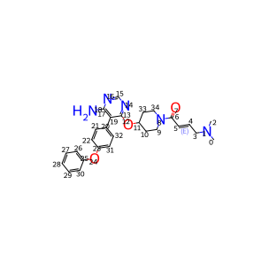 CN(C)C/C=C/C(=O)N1CCC(Oc2ncnc(N)c2-c2ccc(Oc3ccccc3)cc2)CC1